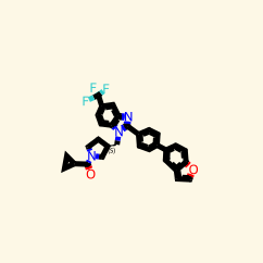 O=C(C1CC1)N1CC[C@H](Cn2c(-c3ccc(-c4ccc5occc5c4)cc3)nc3cc(C(F)(F)F)ccc32)C1